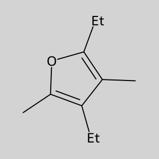 CCc1oc(C)c(CC)c1C